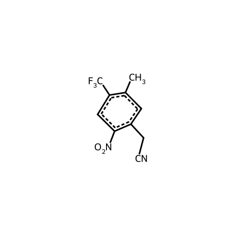 Cc1cc(CC#N)c([N+](=O)[O-])cc1C(F)(F)F